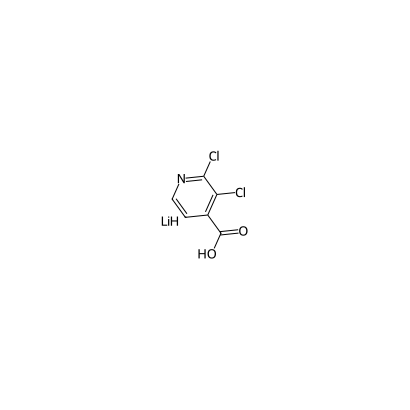 O=C(O)c1ccnc(Cl)c1Cl.[LiH]